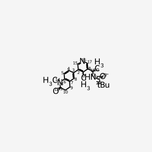 Cc1c(-c2ccc3c(c2)CCC(=O)N3C)cncc1C(C)N[S@+]([O-])C(C)(C)C